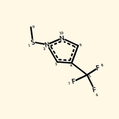 CSn1cc(C(F)(F)F)cn1